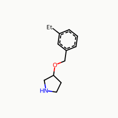 CCc1cccc(COC2CCNC2)c1